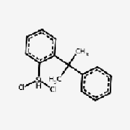 CC(C)(c1ccccc1)c1ccccc1[SiH](Cl)Cl